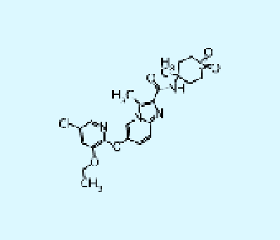 CCOc1cc(Cl)cnc1Oc1ccc2nc(C(=O)NC3(C)CCS(=O)(=O)CC3)c(C)n2c1